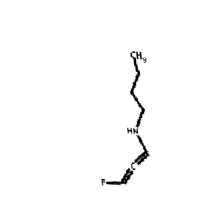 CCCCNC=C=CF